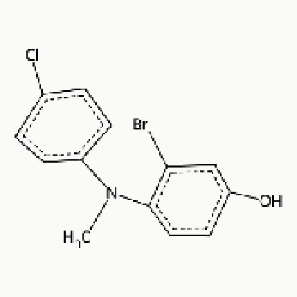 CN(c1ccc(Cl)cc1)c1ccc(O)cc1Br